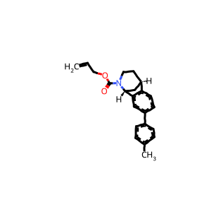 C=CCOC(=O)N1CC[C@@H]2C[C@@H]1c1cc(-c3ccc(C)cc3)ccc12